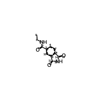 CCNC(=O)c1ccc2c(c1)C(=O)NC2=O